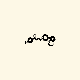 O=C(CCCN1CCCC2c3cccc4c3N(CCCS4)C2C1)c1ccc(F)cc1